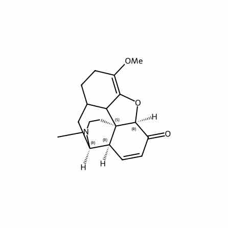 COC1=C2O[C@H]3C(=O)C=C[C@H]4[C@H]5CC(CC1)C2[C@@]34CCN5C